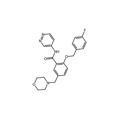 O=C(Nc1ccnnc1)c1cc(CN2CCOCC2)ccc1OCc1ccc(F)cc1